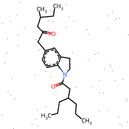 CCCC(CCC)CC(=O)N1CCc2cc(CC(=O)CC(C)CC)ccc21